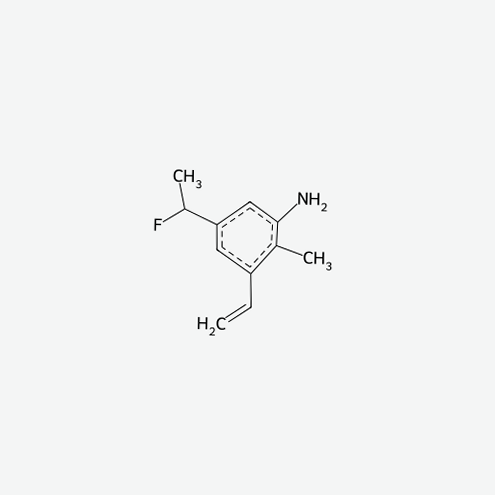 C=Cc1cc(C(C)F)cc(N)c1C